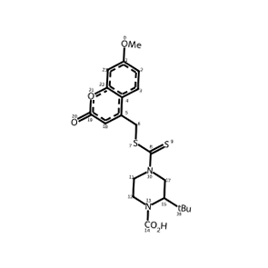 COc1ccc2c(CSC(=S)N3CCN(C(=O)O)C(C(C)(C)C)C3)cc(=O)oc2c1